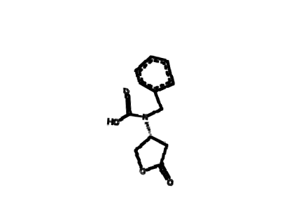 O=C1C[C@@H](N(Cc2ccccc2)C(=O)O)CO1